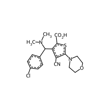 CN(C)C(c1ccc(Cl)cc1)c1c(C(=O)O)sc(N2CCOCC2)c1C#N